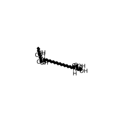 CCCNC(=O)CCC(NC(=O)CCCCCCCCCCCCCCCCC(=O)NC(CC(=O)O)C(=O)O)C(=O)O